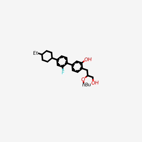 CCCCOC(CO)Cc1ccc(-c2ccc(C3CCC(CC)CC3)cc2F)cc1O